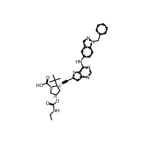 CCNC(=O)O[C@@H]1CN(C(=O)O)[C@@](C#Cc2cc3ncnc(Nc4ccc5c(cnn5Cc5ccccc5)c4)c3s2)(C(C)(C)C)C1